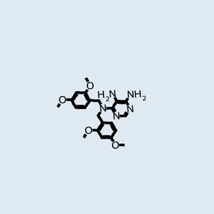 COc1ccc(CN(Cc2ccc(OC)cc2OC)c2ncnc(N)c2N)c(OC)c1